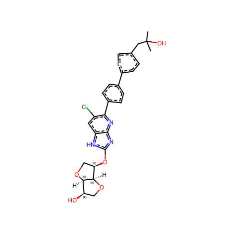 CC(C)(O)Cc1ccc(-c2ccc(-c3nc4nc(O[C@@H]5CO[C@H]6[C@@H]5OC[C@H]6O)[nH]c4cc3Cl)cc2)cc1